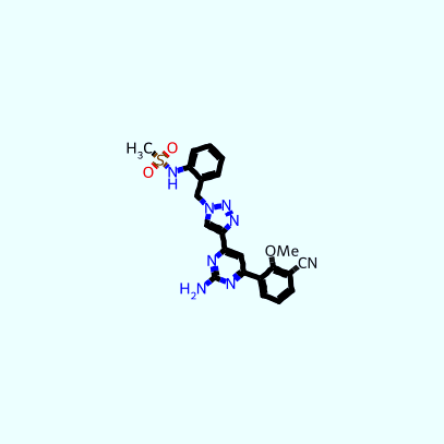 COc1c(C#N)cccc1-c1cc(-c2cn(Cc3ccccc3NS(C)(=O)=O)nn2)nc(N)n1